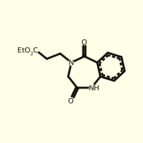 CCOC(=O)CCN1CC(=O)Nc2ccccc2C1=O